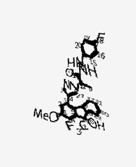 COc1cc(-c2cnn(C(C)C(=O)NNc3ccc(F)cc3)c2)c2c(c1)C(O)(C(F)(F)F)c1ccccc1-2